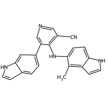 Cc1c(Nc2c(C#N)cncc2-c2ccc3cc[nH]c3c2)ccc2[nH]ccc12